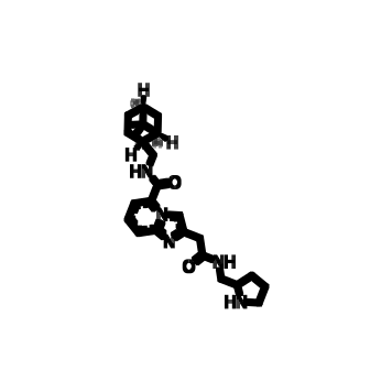 CC1(C)[C@@H]2CC[C@@H](CNC(=O)c3cccc4nc(CC(=O)NCC5CCCN5)cn34)[C@H]1C2